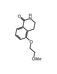 COCCOc1cccc2c1CCNC2=O